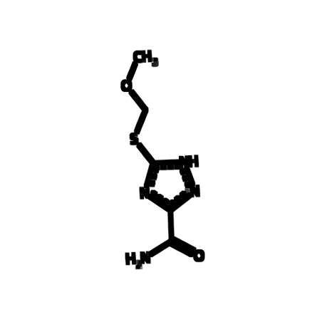 COCSc1nc(C(N)=O)n[nH]1